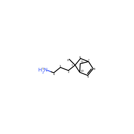 CC1(CCCN)CC2C=CC1C2